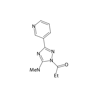 CCC(=O)n1nc(-c2cccnc2)nc1NC